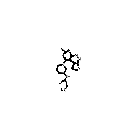 Cc1nc(N2CCCC(NC(=O)CC#N)C2)c2c(nnc3[nH]ccc32)n1